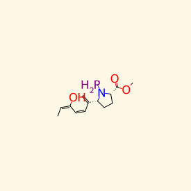 C=C(/C=C\C(O)=C/C)[C@H]1CC[C@@H](C(=O)OC)N1P